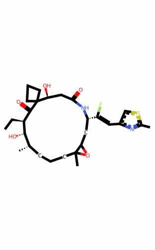 CC[C@H]1C(=O)C2(CCC2)[C@@H](O)CC(=O)N[C@H](C(F)=Cc2csc(C)n2)CC2OC2(C)CCC[C@H](C)[C@@H]1O